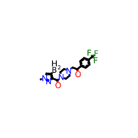 Bc1cn(C)nc1C(=O)N1CCN(CC(=O)c2ccc(C(F)(F)F)cc2)CC1